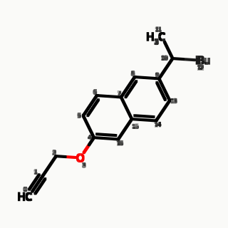 C#CCOc1ccc2cc(C(C)C(C)CC)ccc2c1